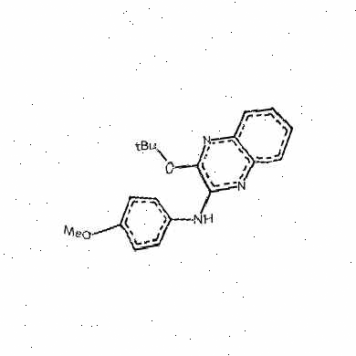 COc1ccc(Nc2nc3ccccc3nc2OC(C)(C)C)cc1